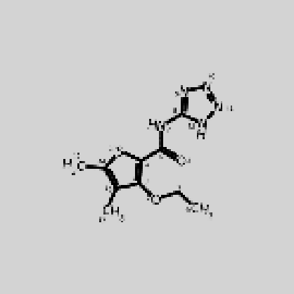 CCOc1c(C(=O)Nc2nnn[nH]2)sc(C)c1C